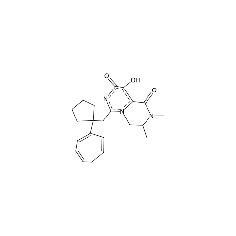 CC1Cn2c(CC3(C4=CC=CCC=C4)CCCC3)nc(=O)c(O)c2C(=O)N1C